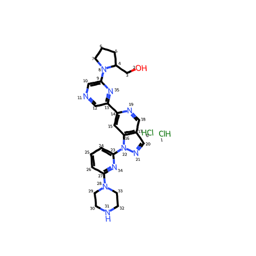 Cl.Cl.OCC1CCCN1c1cncc(-c2cc3c(cn2)cnn3-c2cccc(N3CCNCC3)n2)n1